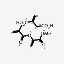 C=C(C)C(=O)OC(=C)C(=O)OC.C=C(CC(=O)O)C(=O)O